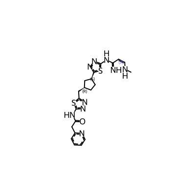 CN/C=C\C(=N)Nc1nnc([C@H]2CC[C@@H](Cc3nnc(NC(=O)Cc4ccccn4)s3)C2)s1